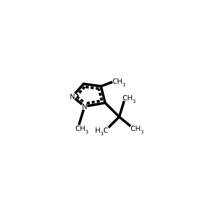 Cc1cnn(C)c1C(C)(C)C